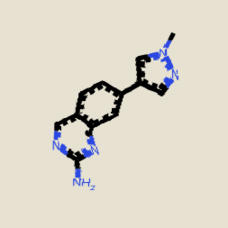 Cn1cc(-c2ccc3cnc(N)nc3c2)cn1